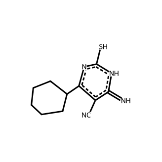 N#Cc1c(C2CCCCC2)nc(S)[nH]c1=N